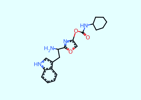 NC(Cc1c[nH]c2ccccc12)c1nc(OC(=O)NC2CCCCC2)co1